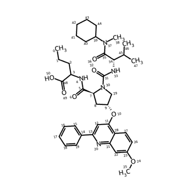 CCCC(NC(=O)[C@@H]1C[C@@H](Oc2cc(-c3ccccc3)nc3cc(OC)ccc23)CN1C(=O)N[C@H](C(=O)N(C)C1CCCCC1)C(C)C)C(=O)O